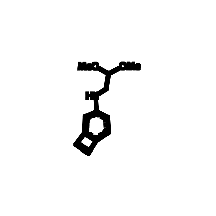 COC(CNc1ccc2c(c1)C=C2)OC